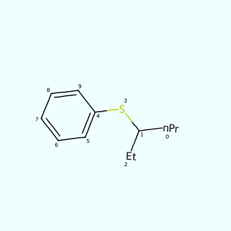 CCCC(CC)Sc1ccccc1